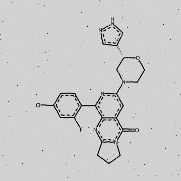 O=c1c2cc(N3CCO[C@@H](c4cn[nH]c4)C3)nc(-c3ccc(Cl)cc3F)c2nc2n1CCC2